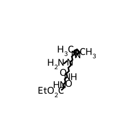 CCOC(=O)CNC(=O)CNC(=O)CCCN(CCN)CCn1nc(C)cc1C